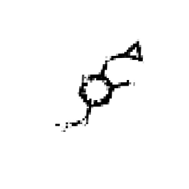 COc1cnc(OC2CC2)c(Br)c1